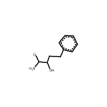 NC(Cl)C(O)CCc1ccccc1